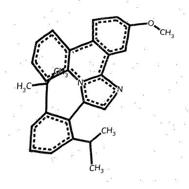 COc1ccc2c3ccccc3n3c(-c4c(C(C)C)cccc4C(C)C)cnc3c2c1